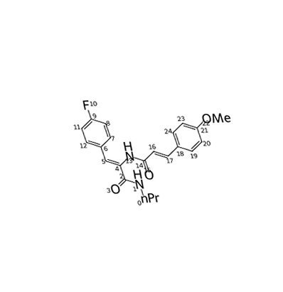 CCCNC(=O)/C(=C/c1ccc(F)cc1)NC(=O)/C=C/c1ccc(OC)cc1